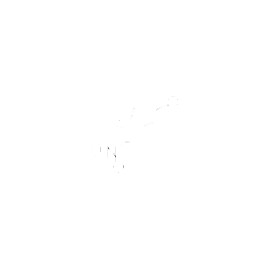 O=C1C=c2cc([N+](=O)[O-])sc2=CC1